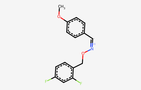 COc1ccc(/[C]=N\OCc2ccc(F)cc2F)cc1